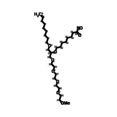 C=CCCCCCCCOCC(COCCOCCOCCOCCOC)OCCCCCCCC(=O)N=O